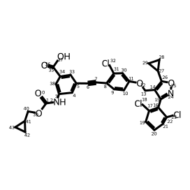 O=C(Nc1cc(C#Cc2ccc(OCc3c(-c4c(Cl)cccc4Cl)noc3C3CC3)cc2Cl)cc(C(=O)O)c1)OCC1CC1